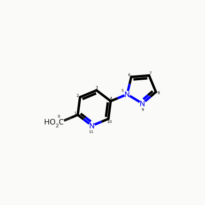 O=C(O)c1ccc(-n2cccn2)cn1